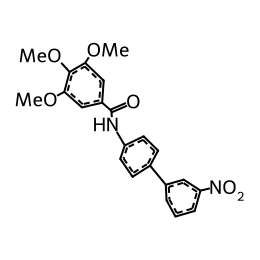 COc1cc(C(=O)Nc2ccc(-c3cccc([N+](=O)[O-])c3)cc2)cc(OC)c1OC